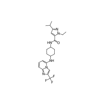 CCn1nc(C(C)C)cc1C(=O)NC1CCC(Nc2cccc3nc(C(F)(F)F)cn23)CC1